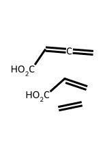 C=C.C=C=CC(=O)O.C=CC(=O)O